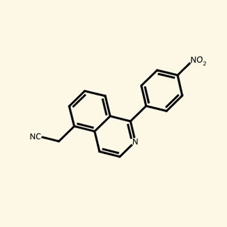 N#CCc1cccc2c(-c3ccc([N+](=O)[O-])cc3)nccc12